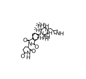 [2H]C1([2H])N(CC2CNC2)C([2H])([2H])C([2H])([2H])N(c2ccc3c(c2)C(=O)N(C2CCC(=O)NC2=O)C3=O)C1([2H])[2H]